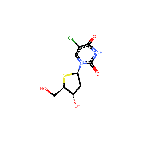 O=c1[nH]c(=O)n([C@H]2C[C@H](O)[C@@H](CO)S2)cc1Cl